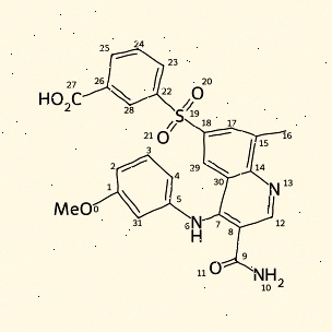 COc1cccc(Nc2c(C(N)=O)cnc3c(C)cc(S(=O)(=O)c4cccc(C(=O)O)c4)cc23)c1